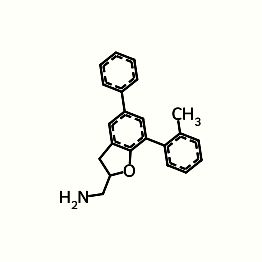 Cc1ccccc1-c1cc(-c2ccccc2)cc2c1OC(CN)C2